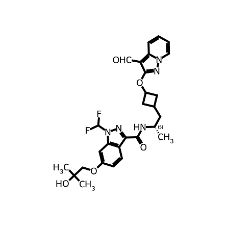 C[C@@H](CC1CC(Oc2nn3ccccc3c2C=O)C1)NC(=O)c1nn(C(F)F)c2cc(OCC(C)(C)O)ccc12